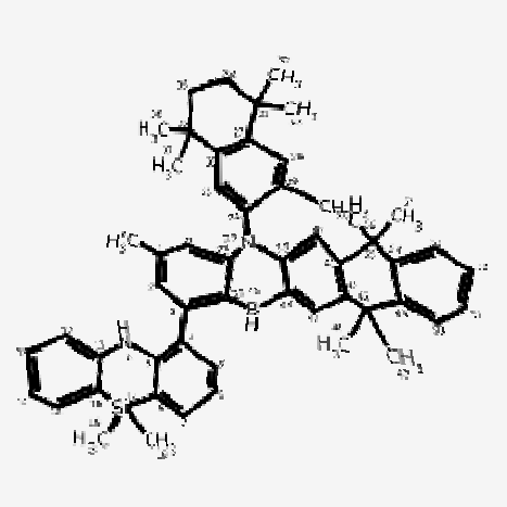 Cc1cc(-c2cccc3c2Nc2ccccc2[Si]3(C)C)c2c(c1)N(c1cc3c(cc1C)C(C)(C)CCC3(C)C)c1cc3c(cc1B2)C(C)(C)c1ccccc1C3(C)C